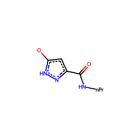 CCCNC(=O)c1cc([O])[nH]n1